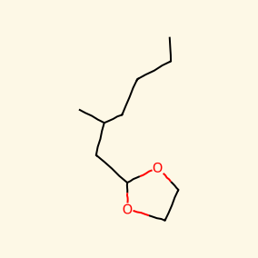 CCCCC(C)CC1OCCO1